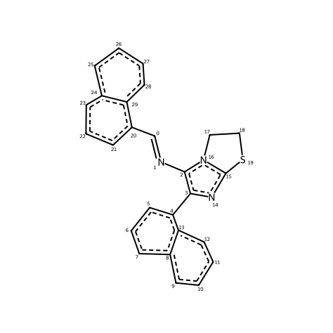 C(=Nc1c(-c2cccc3ccccc23)nc2n1CCS2)c1cccc2ccccc12